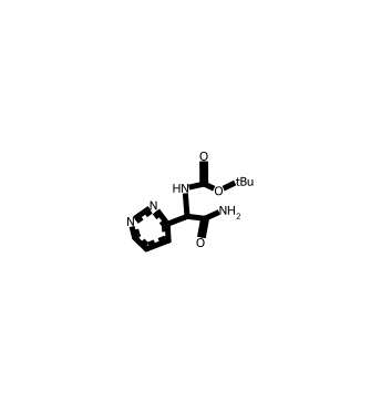 CC(C)(C)OC(=O)NC(C(N)=O)c1cccnn1